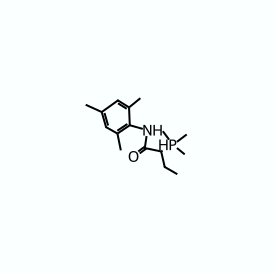 CCC(C(=O)Nc1c(C)cc(C)cc1C)[PH](C)(C)C